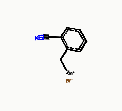 N#Cc1ccccc1[CH2][Zn+].[Br-]